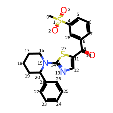 CS(=O)(=O)c1cccc(C(=O)c2cnc(N3CCCCC3c3ccccc3)s2)c1